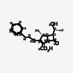 C[C@@H](O)C1C(=O)N2C(C(=O)O)=C(SCCc3cccnn3)[C@H](C)C12